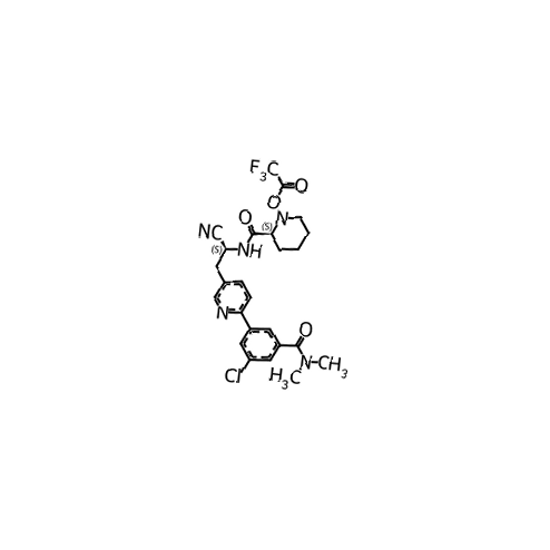 CN(C)C(=O)c1cc(Cl)cc(-c2ccc(C[C@@H](C#N)NC(=O)[C@@H]3CCCCN3OC(=O)C(F)(F)F)cn2)c1